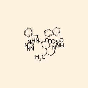 CC1=C(CC(=O)NCc2ccccc2-n2cnnn2)C(=O)N(NS(=O)(=O)c2cccc3ccccc23)CC1